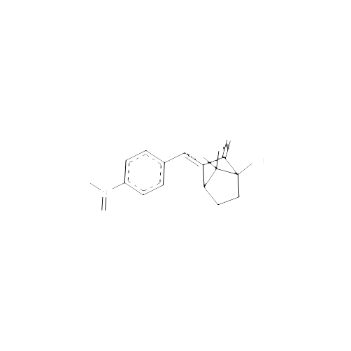 CC12CCC(C(=Cc3ccc([N+](=O)[O-])cc3)C1=O)C2(C)C